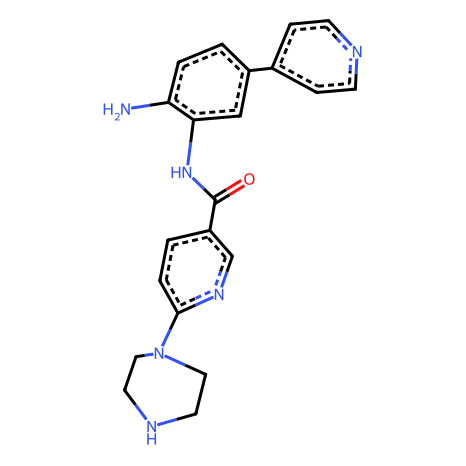 Nc1ccc(-c2ccncc2)cc1NC(=O)c1ccc(N2CCNCC2)nc1